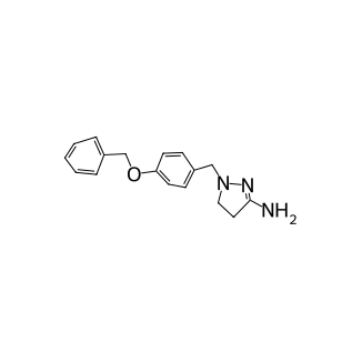 NC1=NN(Cc2ccc(OCc3ccccc3)cc2)CC1